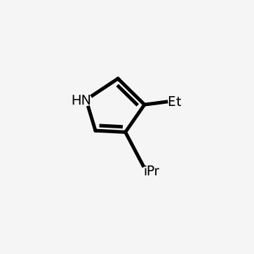 CCc1c[nH]cc1C(C)C